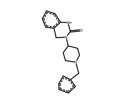 O=C1Nc2ccccc2CN1C1CCN(Cc2ccccc2)CC1